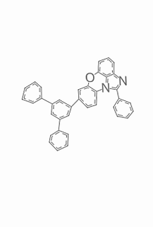 c1ccc(-c2cc(-c3ccccc3)cc(-c3ccc4c(c3)Oc3cccc5nc(-c6ccccc6)n-4c35)c2)cc1